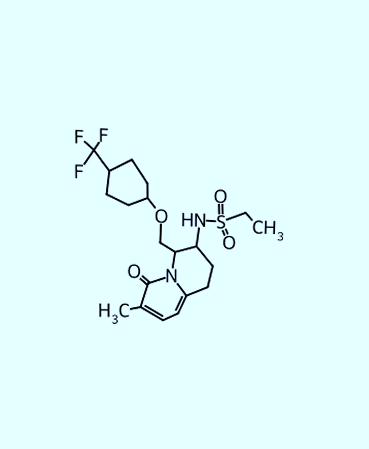 CCS(=O)(=O)NC1CCc2ccc(C)c(=O)n2C1COC1CCC(C(F)(F)F)CC1